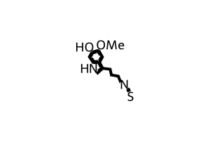 COc1cc2c(CCCCN=C=S)c[nH]c2cc1O